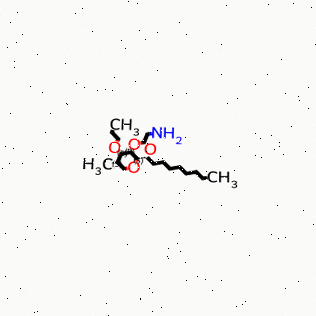 CCCCCCCCC[C@@H]1OC[C@H](C)[C@@H](OCCC)[C@@H]1OC(=O)CN